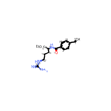 C#Cc1ccc(C(=O)NC(CCCNC(=N)N)C(=O)OCC)cc1